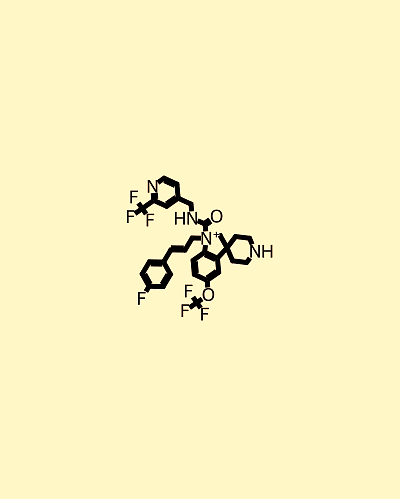 O=C(NCc1ccnc(C(F)(F)F)c1)[N+]1(C/C=C/c2ccc(F)cc2)CC2(CCNCC2)c2cc(OC(F)(F)F)ccc21